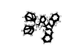 PC(c1ccc2ccccc2n1)(c1ccc2ccccc2n1)c1ccccc1CP(C1C2CC3CC(C2)CC1C3)C1C2CC3CC(C2)CC1C3